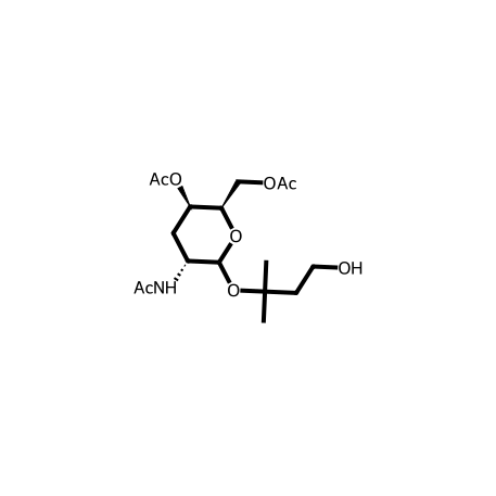 CC(=O)N[C@@H]1C[C@@H](OC(C)=O)[C@@H](COC(C)=O)OC1OC(C)(C)CCO